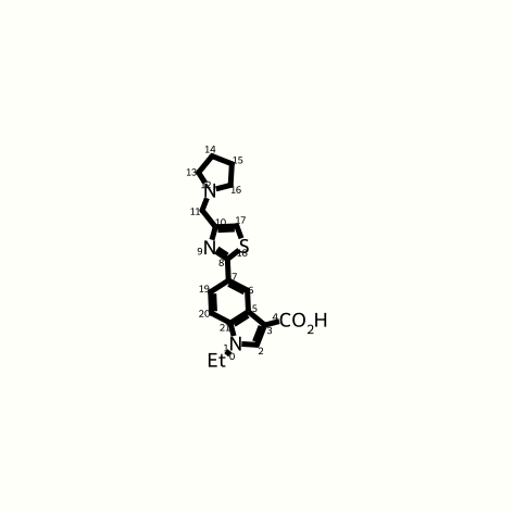 CCn1cc(C(=O)O)c2cc(-c3nc(CN4CCCC4)cs3)ccc21